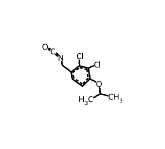 CC(C)Oc1ccc(CN=C=O)c(Cl)c1Cl